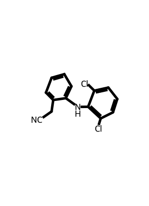 N#CCc1ccccc1Nc1c(Cl)cccc1Cl